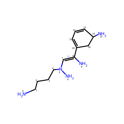 NCCCCN(N)/C=C(\N)C1=CC=CC(N)C1